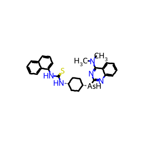 CN(C)c1nc([AsH][C@H]2CC[C@@H](NC(=S)Nc3cccc4ccccc34)CC2)nc2ccccc12